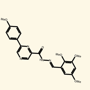 COc1ccc(-c2cncc(C(=O)NN=Cc3cc(OC)cc(OC)c3OC)n2)cc1